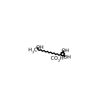 CC(O)CCCCCCCCCCCCCc1cc(O)cc(O)c1C(=O)O